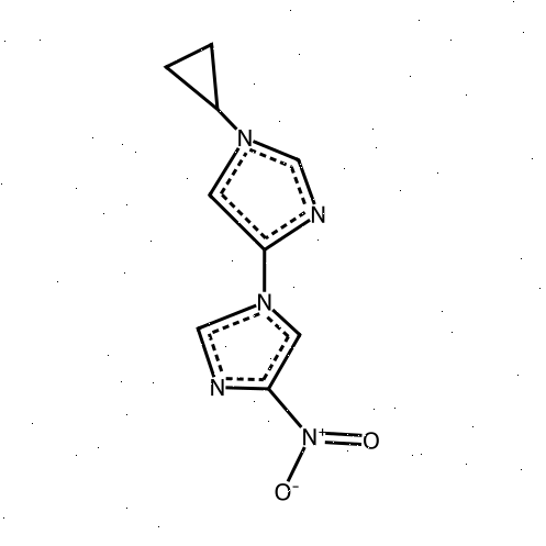 O=[N+]([O-])c1cn(-c2cn(C3CC3)cn2)cn1